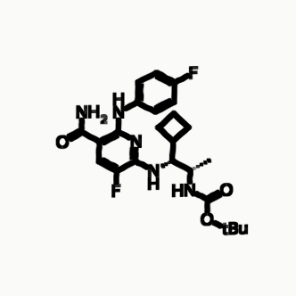 C[C@H](NC(=O)OC(C)(C)C)[C@H](Nc1nc(Nc2ccc(F)cc2)c(C(N)=O)cc1F)C1CCC1